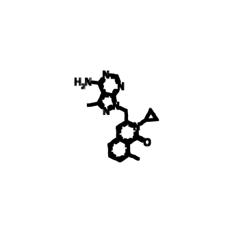 Cc1nn(Cc2cc3cccc(C)c3c(=O)n2C2CC2)c2ncnc(N)c12